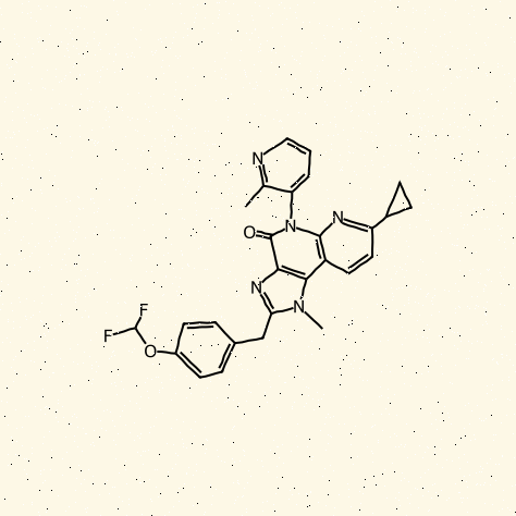 Cc1ncccc1-n1c(=O)c2nc(Cc3ccc(OC(F)F)cc3)n(C)c2c2ccc(C3CC3)nc21